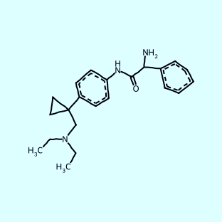 CCN(CC)CC1(c2ccc(NC(=O)C(N)c3ccccc3)cc2)CC1